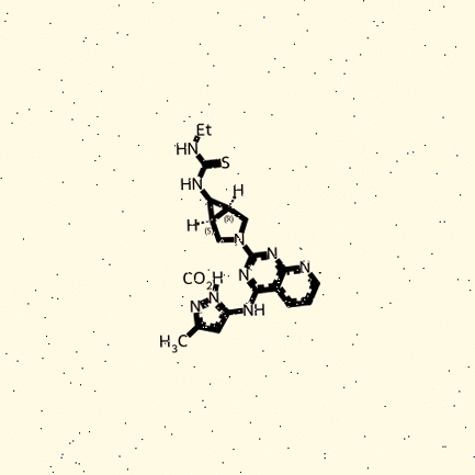 CCNC(=S)NC1[C@H]2CN(c3nc(Nc4cc(C)nn4C(=O)O)c4cccnc4n3)C[C@@H]12